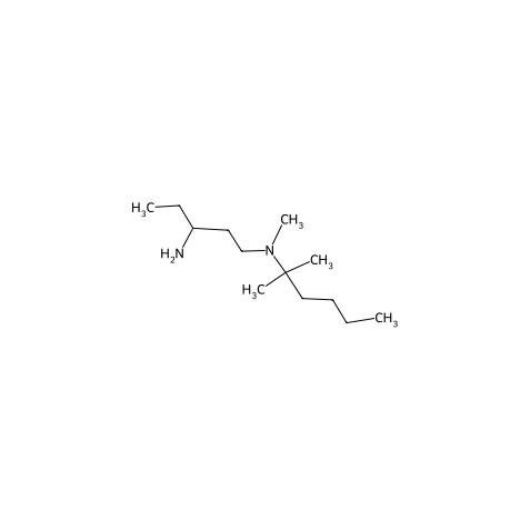 CCCCC(C)(C)N(C)CCC(N)CC